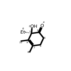 CC[C@]1(O)C(=O)CCC(C)=C1C